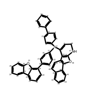 C1=C(N(c2ccc(-c3ccccc3)cc2)c2ccc(-c3cccc4c3oc3ccccc34)cc2)c2c(oc3c2ccc2ccccc23)NC1